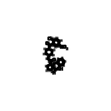 [2H]C1Nc2ccccc2CC12CCCN2C(=O)CN1CCN(C(=O)c2cc([N+](=O)[O-])ccc2Cl)CC1